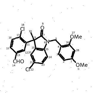 COc1ccc(CN2C(=O)C(C)(c3cc(C=O)ccc3Cl)c3cc(Cl)ccc32)c(OC)c1